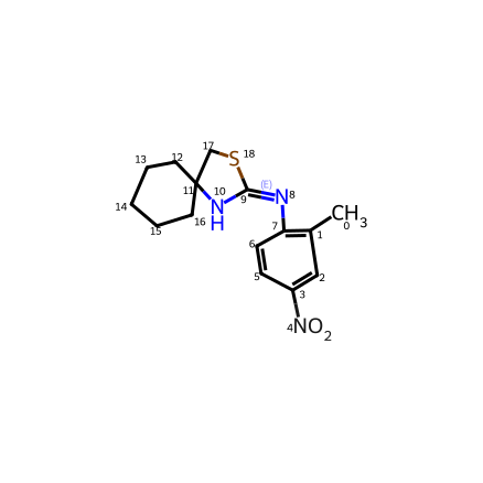 Cc1cc([N+](=O)[O-])ccc1/N=C1\NC2(CCCCC2)CS1